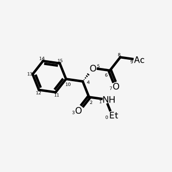 CCNC(=O)[C@@H](OC(=O)CC(C)=O)c1ccccc1